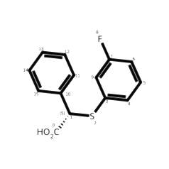 O=C(O)[C@@H](Sc1cccc(F)c1)c1ccccc1